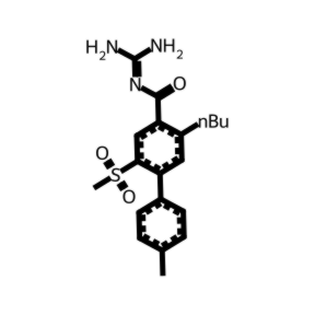 CCCCc1cc(-c2ccc(C)cc2)c(S(C)(=O)=O)cc1C(=O)N=C(N)N